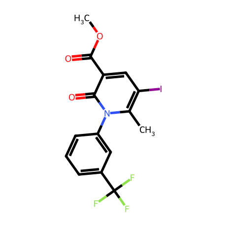 COC(=O)c1cc(I)c(C)n(-c2cccc(C(F)(F)F)c2)c1=O